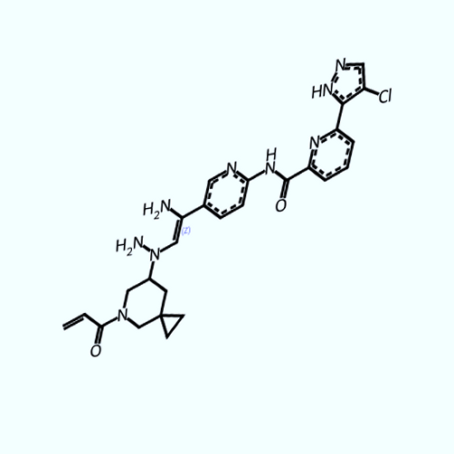 C=CC(=O)N1CC(N(N)/C=C(\N)c2ccc(NC(=O)c3cccc(-c4[nH]ncc4Cl)n3)nc2)CC2(CC2)C1